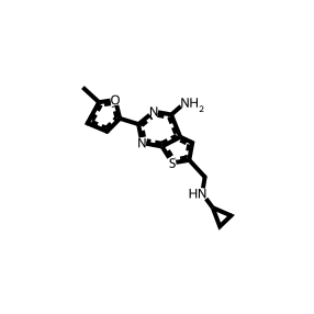 Cc1ccc(-c2nc(N)c3cc(CNC4CC4)sc3n2)o1